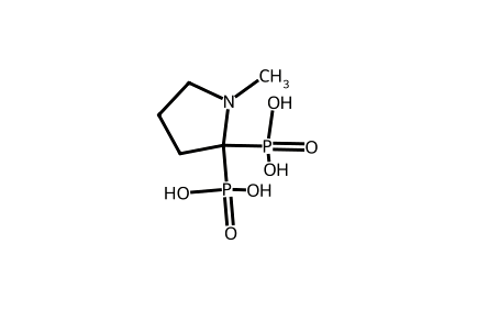 CN1CCCC1(P(=O)(O)O)P(=O)(O)O